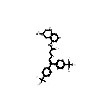 O=C(C=CC=C(c1ccc(C(F)(F)F)cc1)c1ccc(C(F)(F)F)cc1)Nc1cccc2c1CC(O)CN2